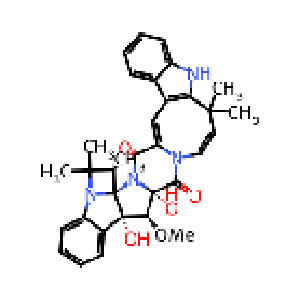 CO[C@@H]1[C@]2(O)C(=O)N3/C=C\C(C)(C)c4[nH]c5ccccc5c4/C=C\3C(=O)N2[C@]23[C@H](C)C(C)(C)N2c2ccccc2[C@]13O